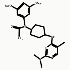 COc1cc(OC)cc(N(C(=O)C(F)(F)F)C2CCC(Nc3nc(N(C)C)ncc3C)CC2)c1